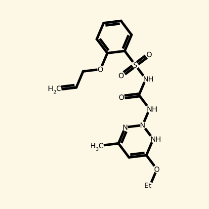 C=CCOc1ccccc1S(=O)(=O)NC(=O)NN1N=C(C)C=C(OCC)N1